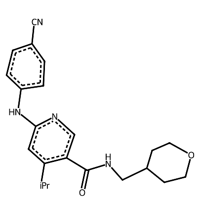 CC(C)c1cc(Nc2ccc(C#N)cc2)ncc1C(=O)NCC1CCOCC1